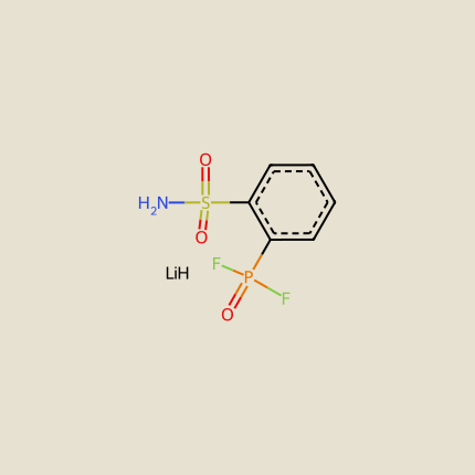 NS(=O)(=O)c1ccccc1P(=O)(F)F.[LiH]